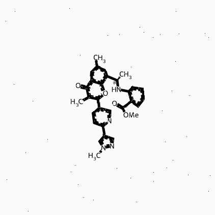 COC(=O)c1ccccc1N[C@H](C)c1cc(C)cc2c(=O)c(C)c(-c3ccc(-c4cnn(C)c4)nc3)oc12